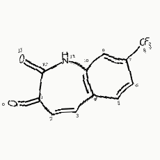 O=c1ccc2ccc(C(F)(F)F)cc2[nH]c1=O